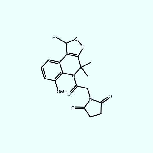 COc1cccc2c1N(C(=O)CN1C(=O)CCC1=O)C(C)(C)C1=C2C(S)SS1